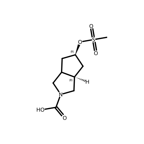 CS(=O)(=O)O[C@@H]1CC2CN(C(=O)O)C[C@@H]2C1